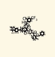 CCc1c(N2CCN(C(=O)c3ncnc(C)c3OCc3ccccc3)CC2)c(=O)n2nc(-c3ccc4c(c3)CN(C)C4(C)C)nc2n1CC(=O)Nc1ccc(C(F)(F)F)cc1Cl